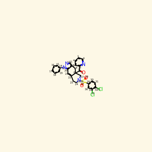 O=C(c1ccccn1)C12Cc3cnn(-c4ccccc4)c3C=C1CCN(S(=O)(=O)c1ccc(Cl)c(Cl)c1)C2